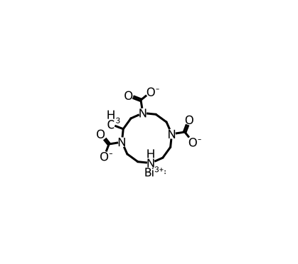 CC1CN(C(=O)[O-])CCN(C(=O)[O-])CCNCCN1C(=O)[O-].[Bi+3]